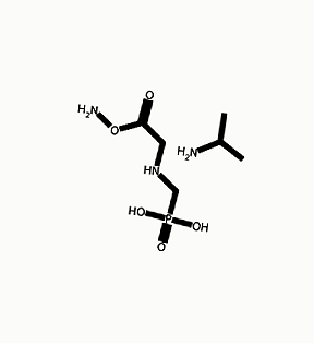 CC(C)N.NOC(=O)CNCP(=O)(O)O